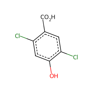 O=C(O)c1cc(Cl)c(O)cc1Cl